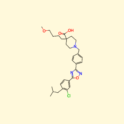 COCCCCC1(C(=O)O)CCN(Cc2ccc(-c3noc(-c4ccc(CC(C)C)c(Cl)c4)n3)cc2)CC1